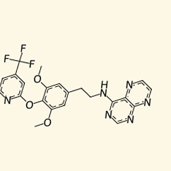 COc1cc(CCNc2ncnc3nccnc23)cc(OC)c1Oc1cc(C(F)(F)F)ccn1